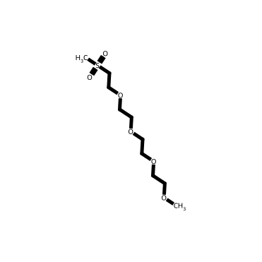 COCCOCCOCCOCCS(C)(=O)=O